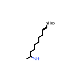 CCCCCC/C=C/CCCCCCC(C)[NH]